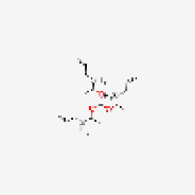 C=CC[SiH2]C(C)O[C](OC(C)[SiH2]CC=C)OC(C)[SiH2]CC=C